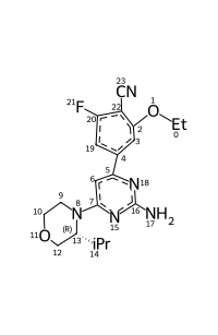 CCOc1cc(-c2cc(N3CCOC[C@H]3C(C)C)nc(N)n2)cc(F)c1C#N